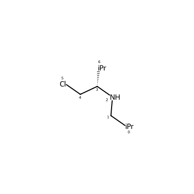 CC(C)CN[C@H](CCl)C(C)C